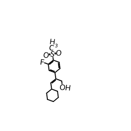 CS(=O)(=O)c1ccc(C(=CC2CCCCC2)CO)cc1F